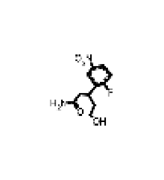 NC(=O)C[C](CCO)c1cc([N+](=O)[O-])ccc1F